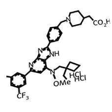 COCC1(CN(C)c2cc(-c3cc(F)cc(C(F)(F)F)c3)nc3nc(-c4ccc(CN5CCC(CC(=O)O)CC5)cc4)[nH]c23)CCC1.Cl.Cl